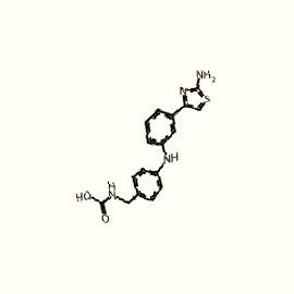 Nc1nc(-c2cccc(Nc3ccc(CNC(=O)O)cc3)c2)cs1